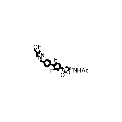 CC(=O)NC[C@H]1CN(c2cc(F)c(-c3ccc(Cn4cc(CO)nn4)cc3)c(F)c2)C(=O)O1